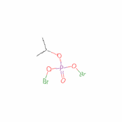 CC(C)OP(=O)(OBr)OBr